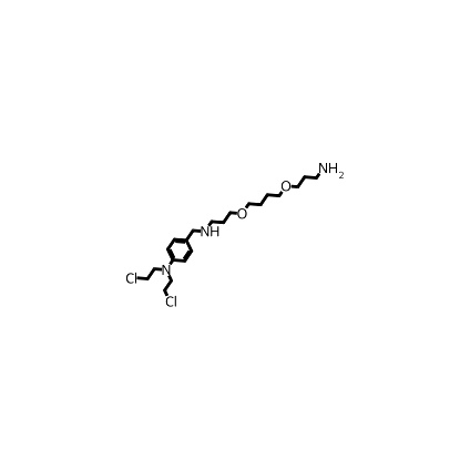 NCCCOCCCCOCCCNCc1ccc(N(CCCl)CCCl)cc1